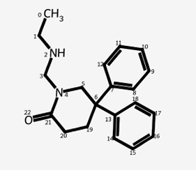 CCNCN1CC(c2ccccc2)(c2ccccc2)CCC1=O